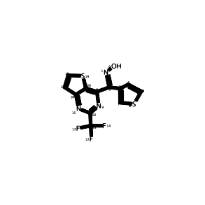 ON=C(c1ccsc1)c1nc(C(F)(F)F)nc2ccsc12